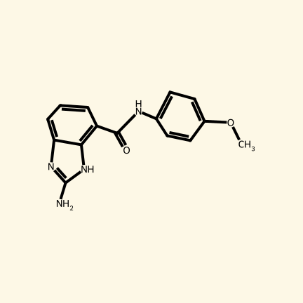 COc1ccc(NC(=O)c2cccc3nc(N)[nH]c23)cc1